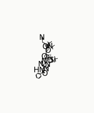 CC(C)N(C(C)C)P(OCCC#N)OCC1OC(n2cnc3c(NC(=O)c4ccccc4)ncnc32)[C@@H](O[Si](C)(C)C(C)(C)C)[C@H]1C